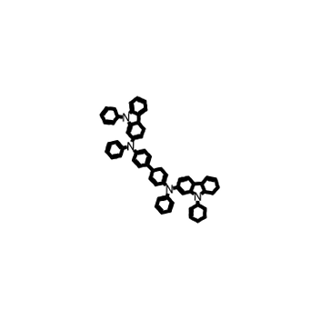 C1=CCC(N2C3=CC(N(c4ccccc4)c4ccc(C5C=CC(N(C6=CC7C(C=C6)C6C=CCCC6N7C6C=CCCC6)c6ccccc6)=CC5)cc4)=CCC3c3ccccc32)C=C1